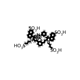 CC1(C)C(/C=C/C2=C(Sc3nnnn3-c3ccccc3)C(=C/C=C3/N(CCCCS(=O)(=O)O)c4ccc5cc(S(=O)(=O)O)ccc5c4C3(C)C)/CCC2)=[N+](CCCCS(=O)(=O)O)c2ccc3cc(S(=O)(=O)O)ccc3c21